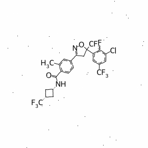 Cc1cc(C2=NOC(c3cc(C(F)(F)F)cc(Cl)c3F)(C(F)(F)F)C2)ccc1C(=O)N[C@H]1C[C@@H](C(F)(F)F)C1